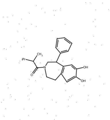 CC(C)C(C)C(=O)N1CCc2cc(O)c(O)cc2C(c2ccccc2)C1